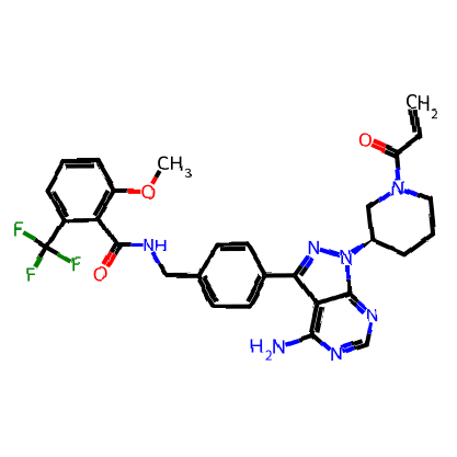 C=CC(=O)N1CCC[C@@H](n2nc(-c3ccc(CNC(=O)c4c(OC)cccc4C(F)(F)F)cc3)c3c(N)ncnc32)C1